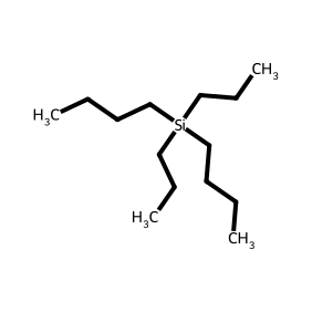 CCCC[Si](CCC)(CCC)CCCC